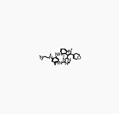 Cc1cc(N(C)CCN(C)C)c(N)cc1Nc1ncnc(-c2c(C3=CCOCC3)n(C)c3ccccc23)n1